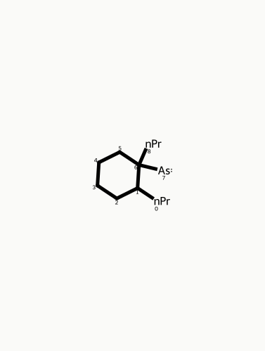 CCCC1CCCCC1([As])CCC